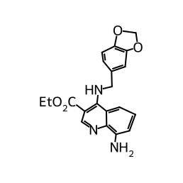 CCOC(=O)c1cnc2c(N)cccc2c1NCc1ccc2c(c1)OCO2